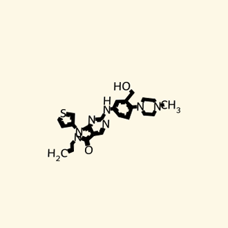 C=CCn1c(=O)c2cnc(Nc3ccc(N4CCN(C)CC4)c(CO)c3)nc2n1-c1ccsc1